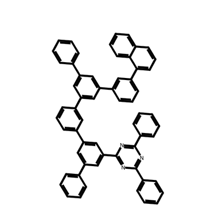 c1ccc(-c2cc(-c3cccc(-c4cc(-c5ccccc5)cc(-c5nc(-c6ccccc6)nc(-c6ccccc6)n5)c4)c3)cc(-c3cccc(-c4cccc5ccccc45)c3)c2)cc1